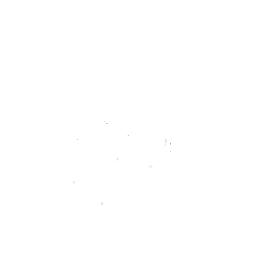 CCOC(=O)C1(C2CCCC2)CC(C)=NO1